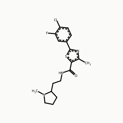 Cc1nc(-c2ccc(Cl)c(F)c2)sc1C(=O)NCCC1CCCN1C